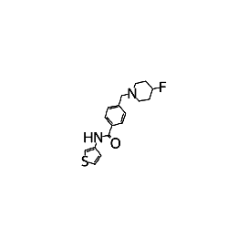 O=C(Nc1ccsc1)c1ccc(CN2CCC(F)CC2)cc1